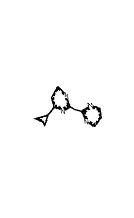 c1cnc(-c2nccc(C3CC3)n2)nc1